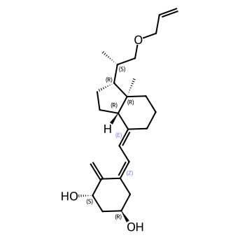 C=CCOC[C@@H](C)[C@H]1CC[C@H]2/C(=C/C=C3/C[C@@H](O)C[C@H](O)C3=C)CCC[C@]12C